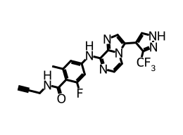 C#CCNC(=O)c1c(C)cc(Nc2nccn3c(-c4c[nH]nc4C(F)(F)F)cnc23)cc1F